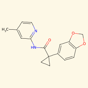 Cc1ccnc(NC(=O)C2(c3ccc4c(c3)OCO4)CC2)c1